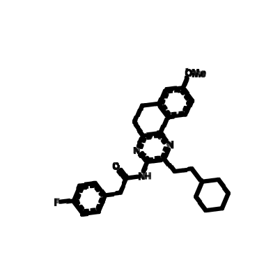 COc1ccc2c(c1)CCc1nc(NC(=O)Cc3ccc(F)cc3)c(CCC3CCCCC3)nc1-2